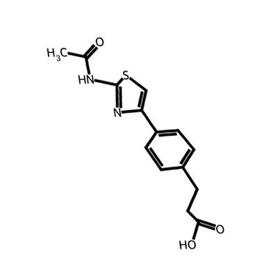 CC(=O)Nc1nc(-c2ccc(CCC(=O)O)cc2)cs1